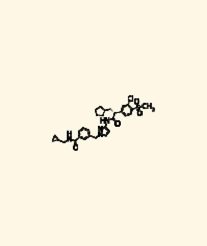 CS(=O)(=O)c1ccc([C@@H](CC2CCCC2)C(=O)Nc2ccn(Cc3cccc(C(=O)NCC4CC4)c3)n2)cc1Cl